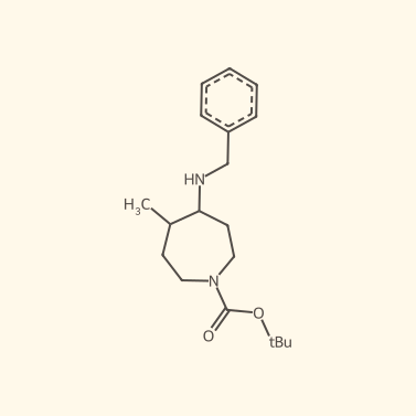 CC1CCN(C(=O)OC(C)(C)C)CCC1NCc1ccccc1